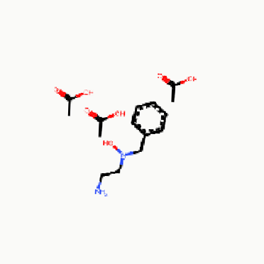 CC(=O)O.CC(=O)O.CC(=O)O.NCCN(O)Cc1ccccc1